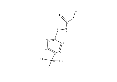 CCC(=O)OCc1ccc(C(F)(F)F)cc1